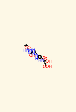 CC(C)(C)OC(=O)Nc1nc(O)c2nc(CNc3ccc(C(=O)N[C@@H](CCC(=O)O)C(=O)O)cc3)cnc2n1